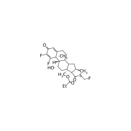 CCC(=O)O[C@@]1(C(=O)SCF)[C@H](C)CC2C3CCC4=CC(=O)C(F)=C(F)[C@]4(C)[C@H]3[C@@H](O)C[C@@]21C